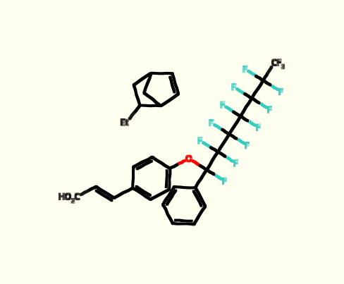 CCC1CC2C=CC1C2.O=C(O)C=Cc1ccc(OC(F)(c2ccccc2)C(F)(F)C(F)(F)C(F)(F)C(F)(F)C(F)(F)C(F)(F)F)cc1